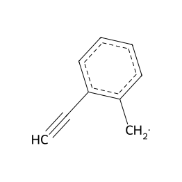 C#Cc1ccccc1[CH2]